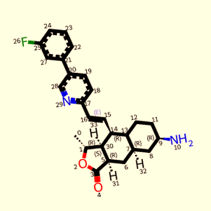 C[C@H]1OC(=O)[C@@H]2C[C@@H]3C[C@H](N)CCC3[C@H](/C=C/c3ccc(-c4cccc(F)c4)cn3)[C@H]12